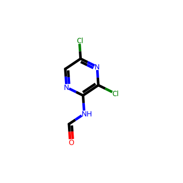 O=CNc1ncc(Cl)nc1Cl